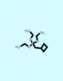 CCO[Si](CC1CCC1)(OCC)OCC